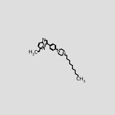 C=Cc1ccc2ncc(-c3ccc(N4CCN(CCCCCCCCCC)CC4)cc3)n2n1